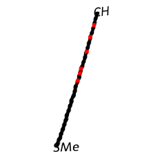 C#CC#CC#CC#CC#CC#CC#CC#CC#CC#CC#CC#CC#CC#CC#CC#CC#CC#CC#CC#CC#CC#CC#CC#CC#CC#CC#CC#CSC